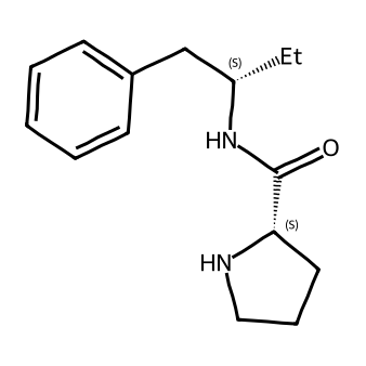 CC[C@@H](Cc1ccccc1)NC(=O)[C@@H]1CCCN1